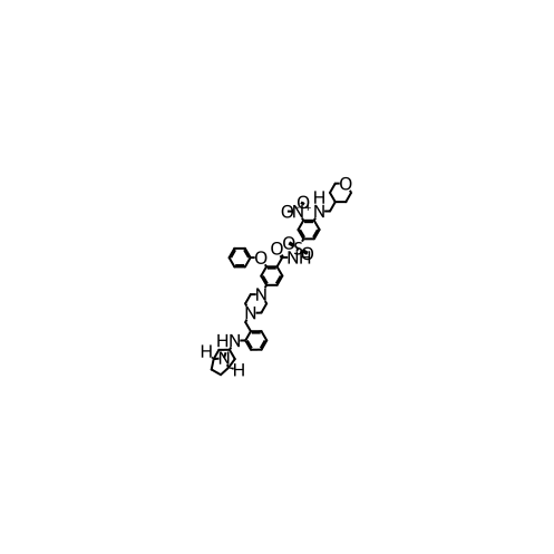 CN1[C@@H]2CC[C@H]1CC(Nc1ccccc1CN1CCN(c3ccc(C(=O)NS(=O)(=O)c4ccc(NCC5CCOCC5)c([N+](=O)[O-])c4)c(Oc4ccccc4)c3)CC1)C2